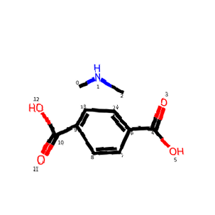 CNC.O=C(O)c1ccc(C(=O)O)cc1